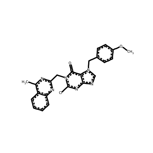 COc1ccc(Cn2cnc3nc(Cl)n(Cc4nc(C)c5ccccc5n4)c(=O)c32)cc1